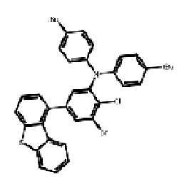 CC(C)(C)c1ccc(N(c2ccc(C(C)(C)C)cc2)c2cc(-c3cccc4sc5ccccc5c34)cc(Br)c2Cl)cc1